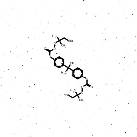 CC(C)(C)CC(C)(C)OOC(=O)Oc1ccc(C(C)(C)c2ccc(OC(=O)OOC(C)(C)CC(C)(C)C)cc2)cc1